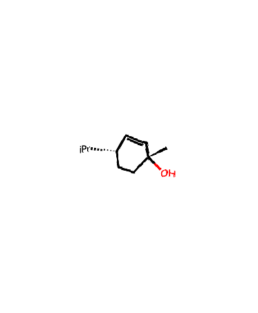 CC(C)[C@@H]1C=C[C@](C)(O)CC1